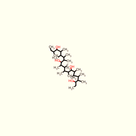 CCC(C)C(O)C(C)C(C)C(C)C(C)C(O)C(C)C(C)C(C)C(C)C(O)C(C)C(C)C(C)C(C)C(O)CC